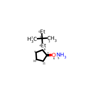 CCC(C)(C)CC.N.O=C1CCCC1